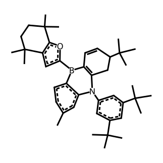 Cc1ccc2c(c1)N(c1cc(C(C)(C)C)cc(C(C)(C)C)c1)C1=C(C=CC(C(C)(C)C)C1)B2c1cc2c(o1)C(C)(C)CCC2(C)C